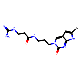 CCc1cc2cn(CCCNC(=O)CCNC(=N)N)c(=O)nc2[nH]1